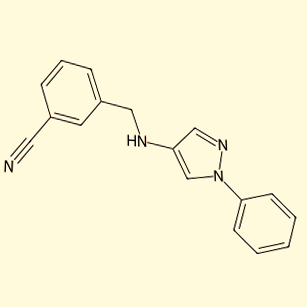 N#Cc1cccc(CNc2cnn(-c3ccccc3)c2)c1